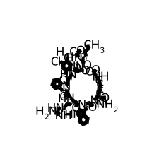 CCCC[C@H](NC(C)=O)C(=O)N[C@H]1CCC(=O)NCCCC[C@@H](C(N)=O)NC(=O)[C@H](Cc2c[nH]c3ccccc23)NC(=O)[C@H](CCCNC(=N)N)NC(=O)[C@@H](Cc2ccccc2)NC(=O)[C@H](Cc2ccc(Cl)c(Cl)c2)NC1=O